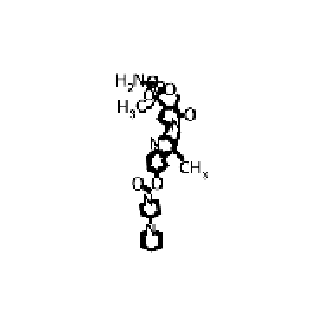 CCc1c2c(nc3ccc(OC(=O)N4CCC(N5CCCCC5)CC4)cc13)-c1cc3c(c(=O)n1C2)COC(=O)[C@@]3(CC)OC(N)=O